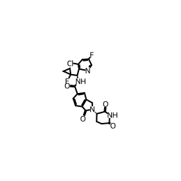 O=C1CC[C@H](N2Cc3cc(C(=O)N[C@H](c4ncc(F)cc4Cl)C4(F)CC4)ccc3C2=O)C(=O)N1